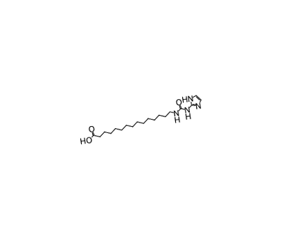 O=C(O)CCCCCCCCCCCCCCNC(=O)Nc1ncc[nH]1